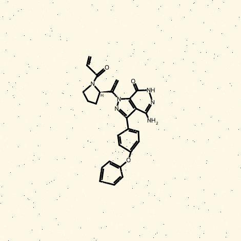 C=CC(=O)N1CCC[C@@H]1C(=C)n1nc(-c2ccc(Oc3ccccc3)cc2)c2c(N)n[nH]c(=O)c21